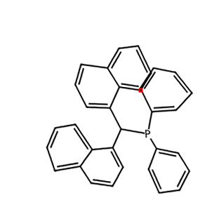 c1ccc(P(c2ccccc2)C(c2cccc3ccccc23)c2cccc3ccccc23)cc1